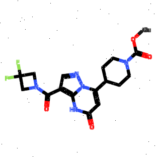 CC(C)(C)OC(=O)N1CCC(c2cc(=O)[nH]c3c(C(=O)N4CC(F)(F)C4)cnn23)CC1